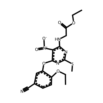 CCOC(=O)CNc1nc(SC)nc(Oc2cc(C#N)ccc2OCC)c1[N+](=O)[O-]